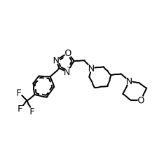 FC(F)(F)c1ccc(-c2noc(CN3CCCC(CN4CCOCC4)C3)n2)cc1